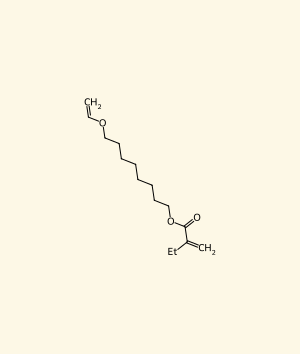 C=COCCCCCCCCOC(=O)C(=C)CC